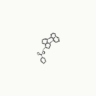 O=C(OCc1ccc2c3cccc4cccc(c5cccc1c52)c43)c1ccccc1